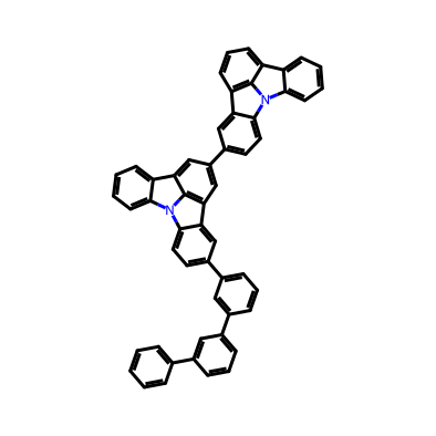 c1ccc(-c2cccc(-c3cccc(-c4ccc5c(c4)c4cc(-c6ccc7c(c6)c6cccc8c9ccccc9n7c86)cc6c7ccccc7n5c64)c3)c2)cc1